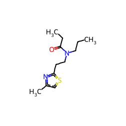 CCCN(CCc1nc(C)cs1)C(=O)CC